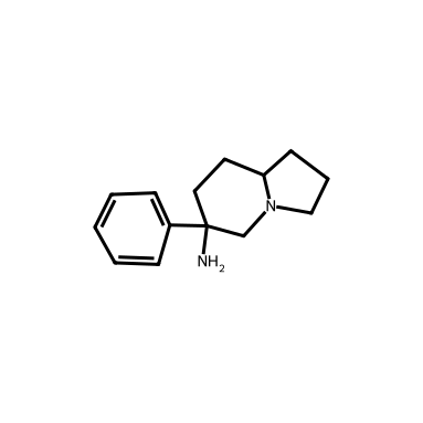 NC1(c2ccccc2)CCC2CCCN2C1